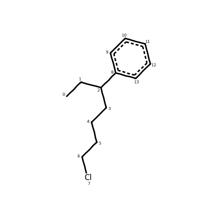 CCC(CCCCCl)c1ccccc1